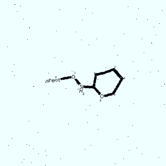 CCCCCO[SiH2]C1CCCCO1